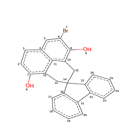 Oc1ccc2cc(Br)c(O)c3c2c1CC1(C3)c2ccccc2-c2ccccc21